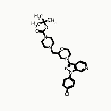 CC(C)(C)OC(=O)N1CCN(CC2CN(c3nn(-c4ccc(Cl)cc4)c4cnccc34)CCO2)CC1